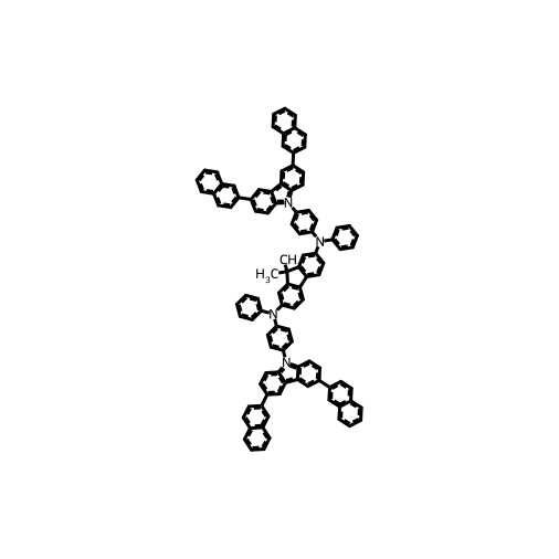 CC1(C)c2cc(N(c3ccccc3)c3ccc(-n4c5ccc(-c6ccc7ccccc7c6)cc5c5cc(-c6ccc7ccccc7c6)ccc54)cc3)ccc2-c2ccc(N(c3ccccc3)c3ccc(-n4c5ccc(-c6ccc7ccccc7c6)cc5c5cc(-c6ccc7ccccc7c6)ccc54)cc3)cc21